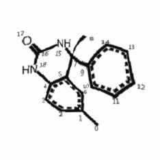 Cc1ccc2c(c1)[C@@](C)(c1ccccc1)NC(=O)N2